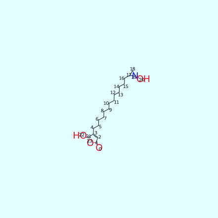 O=C1C=C(CCCCCCCCCCCCCC2CN2O)C(O)O1